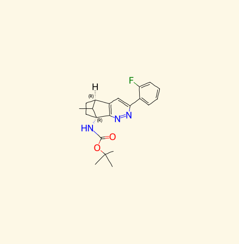 CC1[C@H]2CC[C@]1(NC(=O)OC(C)(C)C)c1nnc(-c3ccccc3F)cc12